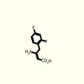 N/C(=C/C(=O)O)Cc1ccc(F)cc1F